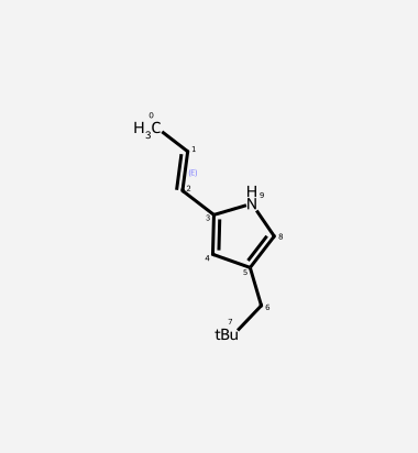 C/C=C/c1cc(CC(C)(C)C)c[nH]1